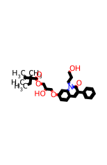 CCC(C)(C(=O)OCC(O)COC1=CC2C(C=C1)C=C(c1ccccc1)C(=O)N2CCCO)C(C)C